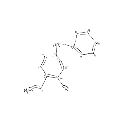 C=Cc1ccc(Nc2ccccc2)cc1C#N